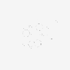 C=CC(=O)Nc1cc(Nc2nccc(-c3c(N4CC[C@@H](O)C4)n4c5c(cccc35)CCC4)n2)c(OC)cc1N(C)CCN(C)C